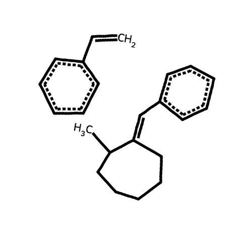 C=Cc1ccccc1.CC1CCCCCC1=Cc1ccccc1